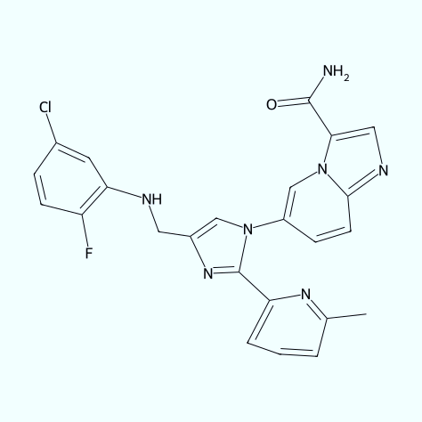 Cc1cccc(-c2nc(CNc3cc(Cl)ccc3F)cn2-c2ccc3ncc(C(N)=O)n3c2)n1